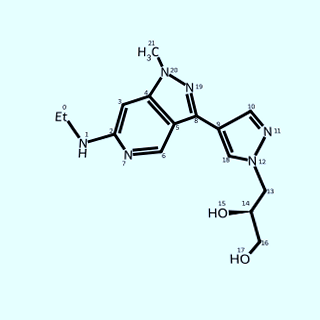 CCNc1cc2c(cn1)c(-c1cnn(C[C@H](O)CO)c1)nn2C